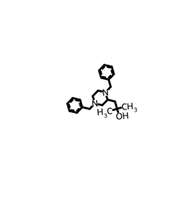 CC(C)(O)CC1CN(Cc2ccccc2)CCN1Cc1ccccc1